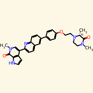 C[C@@H]1C(=O)N(C)CCN1CCOc1ccc(-c2ccc3nc(-c4cn(C)c(=O)c5[nH]ccc45)ccc3c2)cc1